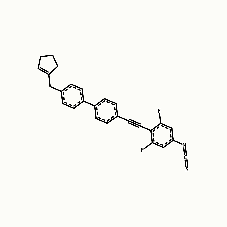 Fc1cc(N=C=S)cc(F)c1C#Cc1ccc(-c2ccc(CC3=CCCC3)cc2)cc1